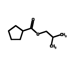 CC(C)COC(=O)C1CCCC1